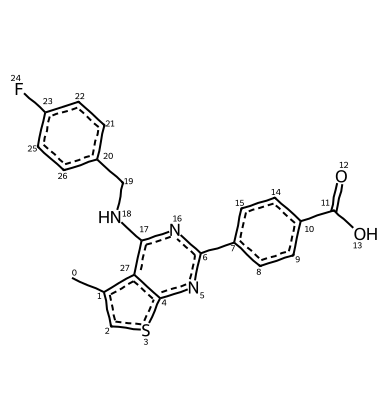 Cc1csc2nc(-c3ccc(C(=O)O)cc3)nc(NCc3ccc(F)cc3)c12